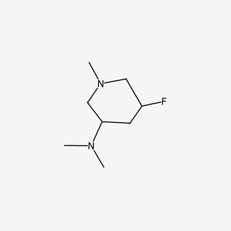 CN1CC(F)CC(N(C)C)C1